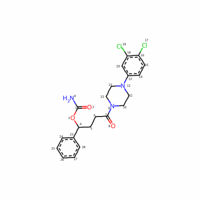 NC(=O)OC(CCC(=O)N1CCN(c2ccc(Cl)c(Cl)c2)CC1)c1ccccc1